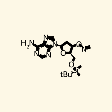 C=NOC1C[C@H](n2cnc3c(N)ncnc32)O[C@@H]1CO[Si](C)(C)C(C)(C)C